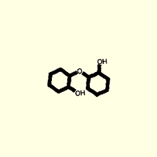 OC1CCCCC1OC1CCCCC1O